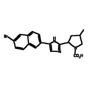 CC1CC(c2ncc(-c3ccc4cc(Br)ccc4c3)[nH]2)N(C(=O)O)C1